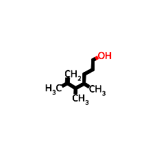 C=C(C)C(C)C(C)CCCO